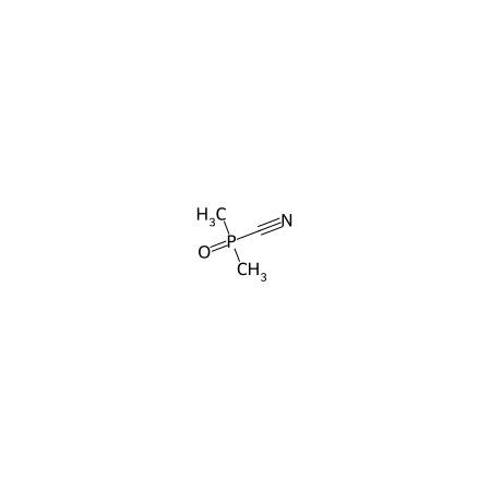 CP(C)(=O)C#N